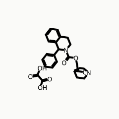 O=C(O)C(=O)O.O=C(OC1CN2CCC1CC2)N1CCc2ccccc2C1c1ccccc1